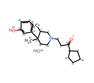 CC1CN(CCC(=O)C2CCCC2)CCC1(C)c1cccc(O)c1.Cl